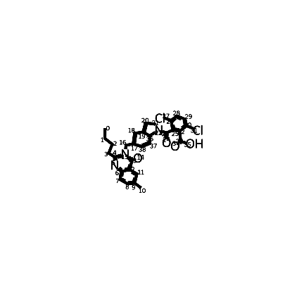 CCCCc1nc2ccc(C)cc2c(=O)n1CC1=CC2=CCN(C(=O)c3c(Cl)ccc(Cl)c3C(=O)O)C2C=C1